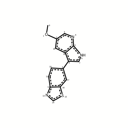 COc1cnc2[nH]cc(-c3ccc4ncsc4c3)c2c1